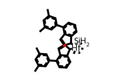 Cc1cc(C)cc(-c2cccc3c2C=C[CH]3[Hf]([CH3])([CH3])([CH3])([CH3])(=[SiH2])[CH]2C=Cc3c(-c4cc(C)cc(C)c4)cccc32)c1